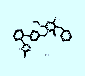 CCSc1nc(C)c(Cc2ccccc2)c(=O)n1Cc1ccc(-c2ccccc2-c2noc(=O)[nH]2)cc1.[KH]